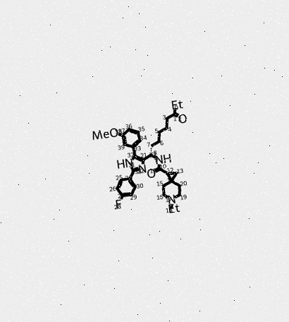 CCC(=O)CCCCC[C@H](NC(=O)C1CC12CCN(CC)CC2)c1nc(-c2ccc(F)cc2)[nH]c1-c1cccc(OC)c1